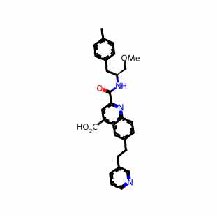 COC[C@H](Cc1ccc(C)cc1)NC(=O)c1cc(C(=O)O)c2cc(CCc3cccnc3)ccc2n1